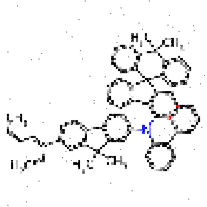 C=C/C(=C\C=C/C)c1ccc2c(c1)C(C)(C)c1cc(N(c3ccccc3-c3ccccc3)c3cccc4c3-c3ccccc3C43c4ccccc4C(C)(C)c4ccccc43)ccc1-2